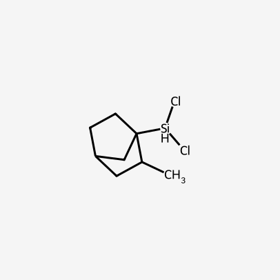 CC1CC2CCC1([SiH](Cl)Cl)C2